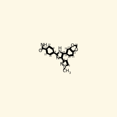 Cn1ccc(-c2nc(-c3ccc(C(N)=O)cc3)[nH]c2-c2ccc3c(c2)OCO3)n1